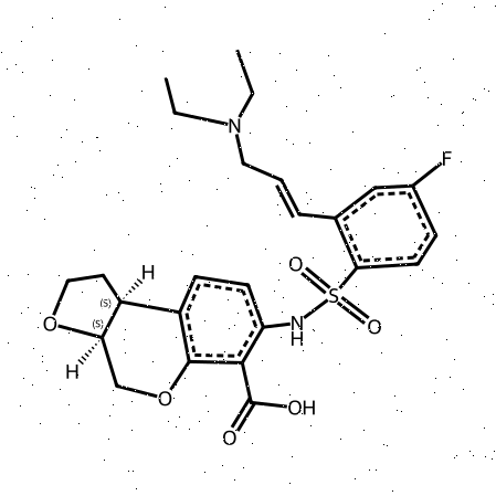 CCN(CC)CC=Cc1cc(F)ccc1S(=O)(=O)Nc1ccc2c(c1C(=O)O)OC[C@H]1OCC[C@@H]21